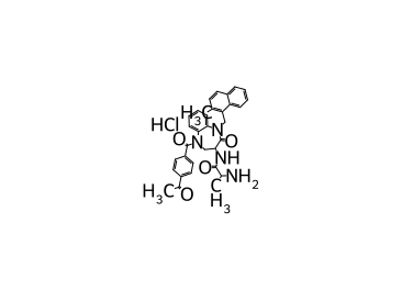 CC(=O)c1ccc(C(=O)N2CC(NC(=O)C(C)N)C(=O)N(Cc3c(C)ccc4ccccc34)c3ccccc32)cc1.Cl